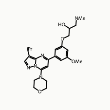 CNCC(O)COc1cc(OC)cc(-c2cc(N3CCOCC3)n3ncc(C(C)C)c3n2)c1